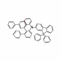 c1ccc(-c2cccc(-c3c(-c4ccccc4)cccc3N(c3ccccc3)c3ccc4c(c3)S(c3ccccc3)(c3ccccc3)c3ccccc3-4)c2)cc1